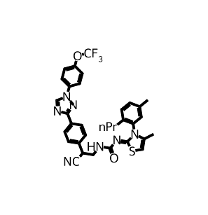 CCCc1ccc(C)cc1-n1c(C)cs/c1=N\C(=O)NCC(C#N)c1ccc(-c2ncn(-c3ccc(OC(F)(F)F)cc3)n2)cc1